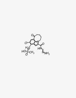 CS(=O)(=O)O.Cc1c(Cl)cc2c3c1cc(C(=O)NC=NN)n3CCCCC2=O